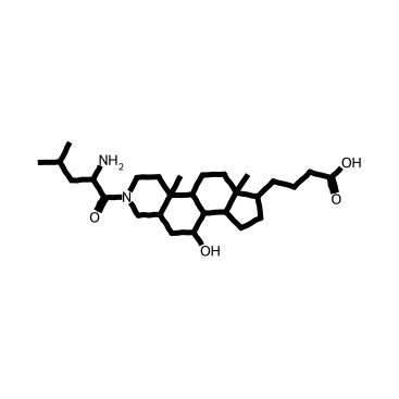 CC(C)CC(N)C(=O)N1CCC2(C)C(CC(O)C3C4CCC(CCCC(=O)O)C4(C)CCC32)C1